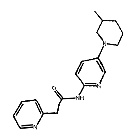 CC1CCCN(c2ccc(NC(=O)Cc3ccccn3)nc2)C1